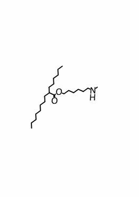 CCCCCCCCC(CCCCCC)C(=O)OCCCCCCNC